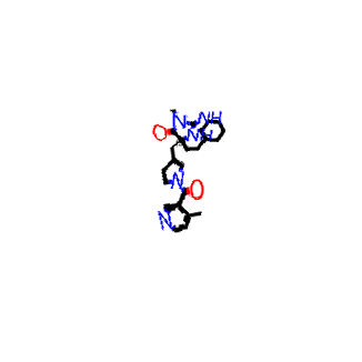 Cc1ccncc1C(=O)N1CCC(C[C@]2(CCC3CCCCC3)NC(=N)N(C)C2=O)C1